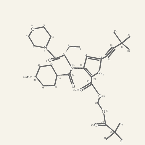 CC[C@@H](C(=O)N1CCOCC1)N(c1cc(C#CC(C)(C)C)sc1C(=O)OCOC(=O)C(C)(C)C)C(=O)[C@H]1CC[C@H](C)CC1